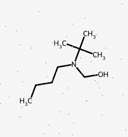 CCCCN(CO)C(C)(C)C